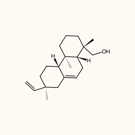 C=C[C@@]1(C)CC[C@H]2C(=CC[C@H]3[C@@](C)(CO)CCC[C@]23C)C1